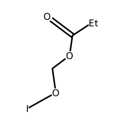 CCC(=O)OCOI